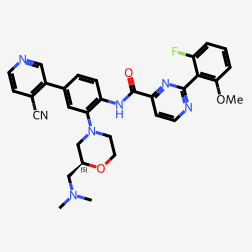 COc1cccc(F)c1-c1nccc(C(=O)Nc2ccc(-c3cnccc3C#N)cc2N2CCO[C@@H](CN(C)C)C2)n1